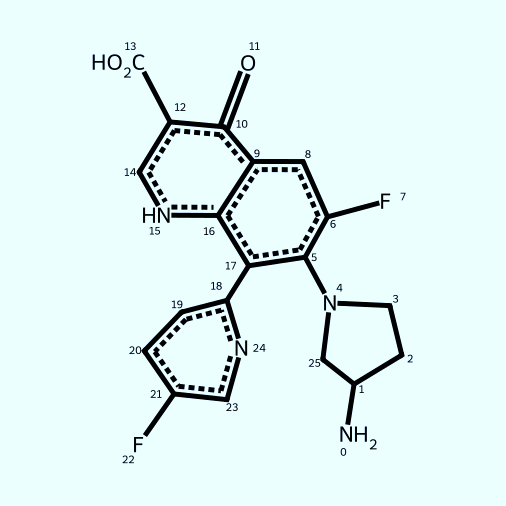 NC1CCN(c2c(F)cc3c(=O)c(C(=O)O)c[nH]c3c2-c2ccc(F)cn2)C1